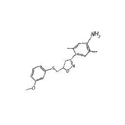 COc1cccc(SCC2CC(c3cc(C)c(N)cc3C)=NO2)c1